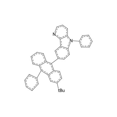 CC(C)(C)c1ccc2c(-c3ccc4c(c3)c3ncccc3n4-c3ccccc3)c3ccccc3c(-c3ccccc3)c2c1